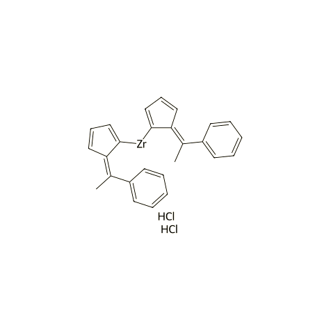 CC(=C1C=CC=[C]1[Zr][C]1=CC=CC1=C(C)c1ccccc1)c1ccccc1.Cl.Cl